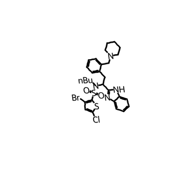 CCCCN(C(Cc1ccccc1CN1CCCCC1)c1nc2ccccc2[nH]1)S(=O)(=O)c1sc(Cl)cc1Br